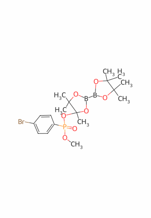 COP(=O)(OC1(C)OB(B2OC(C)(C)C(C)(C)O2)OC1(C)C)c1ccc(Br)cc1